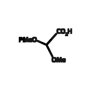 COC(OC)C(=O)O.[Pt]